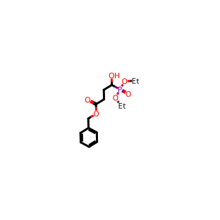 CCOP(=O)(OCC)C(O)CCC(=O)OCc1ccccc1